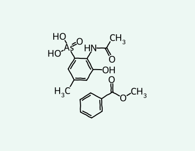 CC(=O)Nc1c(O)cc(C)cc1[As](=O)(O)O.COC(=O)c1ccccc1